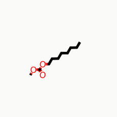 CCCCCCCCOC(=O)OC